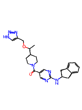 CC(OCc1c[nH]nn1)C1CCN(C(=O)c2cnc(NC3Cc4ccccc4C3)nc2)CC1